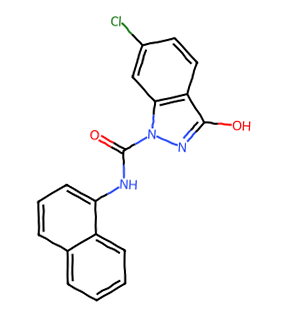 O=C(Nc1cccc2ccccc12)n1nc(O)c2ccc(Cl)cc21